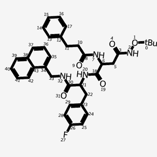 CC(C)(C)ONC(=O)CC(NC(=O)CCc1ccccc1)C(=O)NC(Cc1ccc(F)cc1)C(=O)NCc1cccc2ccccc12